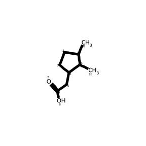 CC1CCC(CC(=O)O)C1C